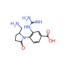 N=C(N)Nc1cc(C(=O)O)ccc1N1C(=O)CCC1CN